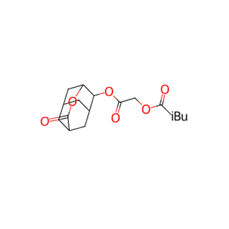 CCC(C)C(=O)OCC(=O)OC1C2CC3CC(C2)C(=O)OC1C3